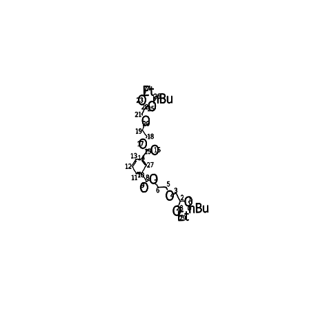 CCCCOC(COCCOC(=O)c1cccc(C(=O)OCCOCC(OCC)OCCCC)c1)OCC